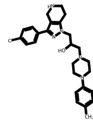 Cc1ccc(N2CCN(CC(O)Cn3nc(-c4ccc(Cl)cc4)c4c3CCNC4)CC2)cc1